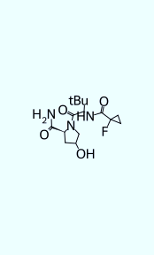 CC(C)(C)C(NC(=O)C1(F)CC1)C(=O)N1CC(O)C[C@H]1C(N)=O